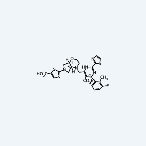 CCOC(=O)C1=C(CN2CCO[C@H]3CN(c4ncc(C(=O)O)s4)C[C@H]32)NC(c2nccs2)=N[C@H]1c1cccc(F)c1C